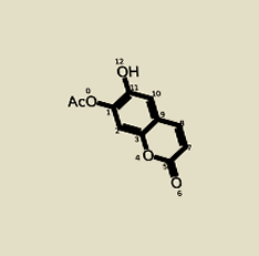 CC(=O)Oc1cc2oc(=O)ccc2cc1O